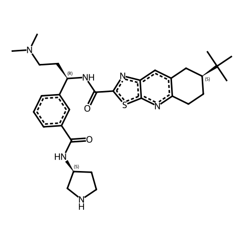 CN(C)CC[C@@H](NC(=O)c1nc2cc3c(nc2s1)CC[C@H](C(C)(C)C)C3)c1cccc(C(=O)N[C@H]2CCNC2)c1